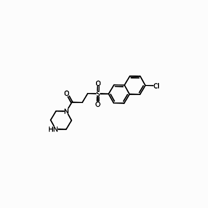 O=C(CCS(=O)(=O)c1ccc2cc(Cl)ccc2c1)N1CCNCC1